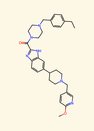 CCc1ccc(CN2CCN(C(=O)c3nc4ccc(C5CCN(Cc6ccc(OC)nc6)CC5)cc4[nH]3)CC2)cc1